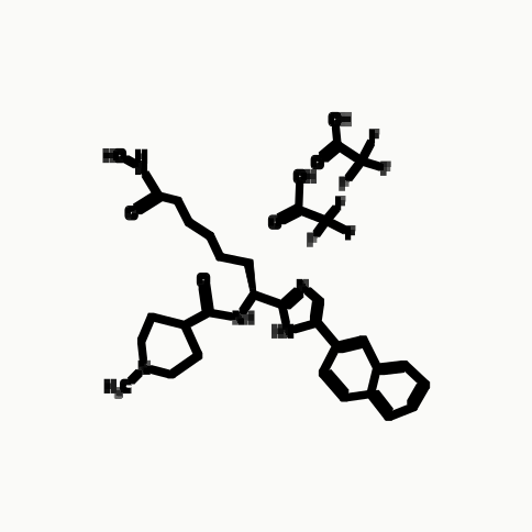 CN1CCC(C(=O)N[C@@H](CCCCCC(=O)NO)c2ncc(-c3ccc4ccccc4c3)[nH]2)CC1.O=C(O)C(F)(F)F.O=C(O)C(F)(F)F